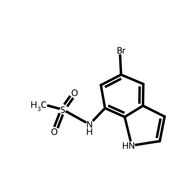 CS(=O)(=O)Nc1cc(Br)cc2cc[nH]c12